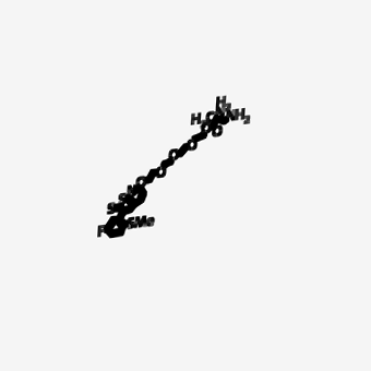 CSc1ccc(F)cc1-c1cc2ccc(OCCOCCOCCOCCOC(=O)C(C)(N)CN)nc2sc1=S